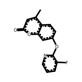 Cc1cc(=O)oc2cc(Oc3ncccc3F)ccc12